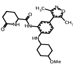 COC1CCC(Nc2ccc(-c3c(C)noc3C)cc2NC(=O)C2CCCC(=O)N2)CC1